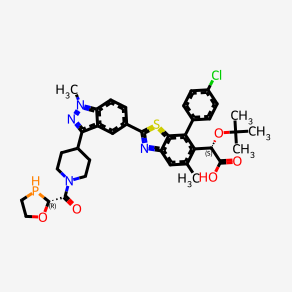 Cc1cc2nc(-c3ccc4c(c3)c(C3CCN(C(=O)[C@@H]5OCCP5)CC3)nn4C)sc2c(-c2ccc(Cl)cc2)c1[C@H](OC(C)(C)C)C(=O)O